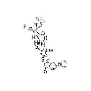 Nc1nc(C(=NOCF)C(=O)NC2C(=O)N3CC(C=CSc4cc(=O)c5ccc(N6CCCCC6)cc5s4)(C(=O)O)CS[C@H]23)cs1